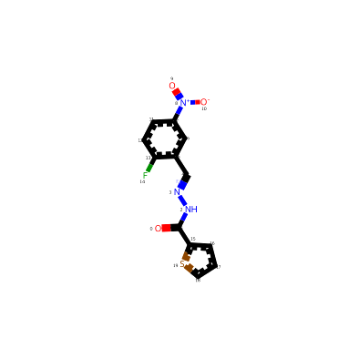 O=C(N/N=C/c1cc([N+](=O)[O-])ccc1F)c1cccs1